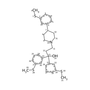 CSc1cccc(C2CCN(CCC(O)(c3cccc(SC)c3)c3cccc(SC)c3)CC2)c1